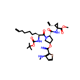 C=CCCCCC[C@H](NC(=O)OC(C)(C)C)C(=O)N1C[C@H](OC(=N)c2sccc2NC)C[C@H]1C(=O)N[C@]1(C(=O)OC)C[C@H]1C=C